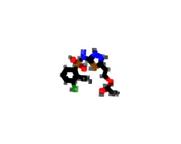 Cc1c(Cl)cccc1S(=O)(=O)Nc1nnc(CCOC(=O)C(C)C)s1